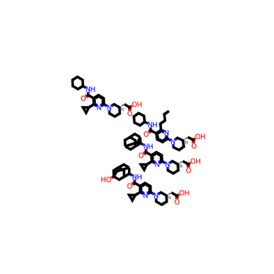 CCCCc1nc(N2CCC[C@@H](CC(=O)O)C2)ccc1C(=O)NC1CCCCC1.O=C(O)C[C@@H]1CCCN(c2ccc(C(=O)NC3C4CC5CC(C4)CC3C5)c(C3CC3)n2)C1.O=C(O)C[C@@H]1CCCN(c2ccc(C(=O)NC3C4CC5CC3CC(O)(C5)C4)c(C3CC3)n2)C1.O=C(O)C[C@@H]1CCCN(c2ccc(C(=O)NC3CCCCC3)c(C3CC3)n2)C1